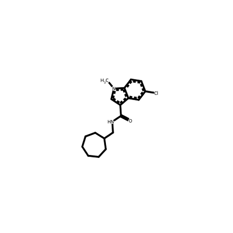 Cn1cc(C(=O)NCC2CCCCCC2)c2cc(Cl)ccc21